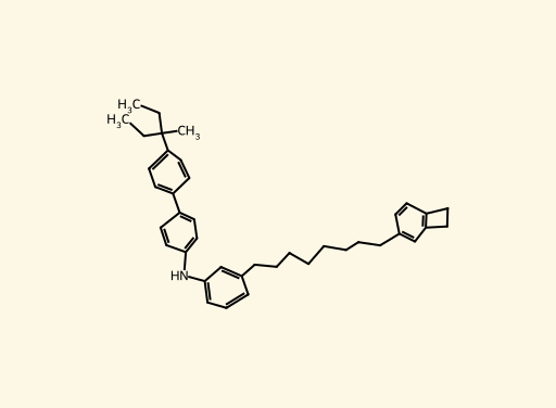 CCC(C)(CC)c1ccc(-c2ccc(Nc3cccc(CCCCCCCCc4ccc5c(c4)CC5)c3)cc2)cc1